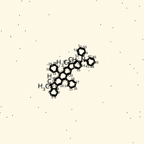 CC1(C)c2ccccc2-c2cc3c(-c4ccccc4)c4cc5c(cc4c(-c4ccccc4)c3cc21)C(C)(C)c1cc(N(c2ccccc2)c2ccccc2)ccc1-5